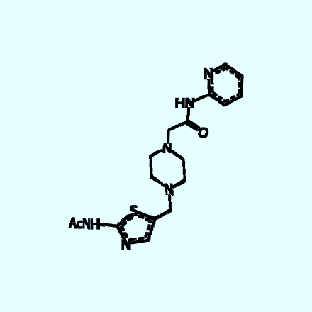 CC(=O)Nc1ncc(CN2CCN(CC(=O)Nc3ccccn3)CC2)s1